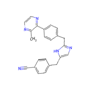 Cc1nccnc1-c1ccc(Cc2ncc(Cc3ccc(C#N)cc3)[nH]2)cc1